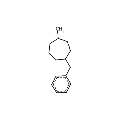 CC1CCCC(Cc2ccccc2)CC1